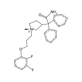 C[N@@+]1(CCCOc2cccc(F)c2F)CCC(C(C(N)=O)(c2ccccc2)c2ccccc2)C1